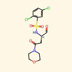 O=C[C@@H](CC(=O)N1CCOCC1)NS(=O)(=O)c1cc(Cl)ccc1Cl